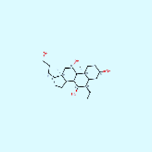 CC[C@@H]1C2C[C@H](O)CC[C@]2(C)C2C(C3CC[C@H]([C@H](C)CCO)[C@@]3(C)C[C@@H]2O)[C@@H]1O